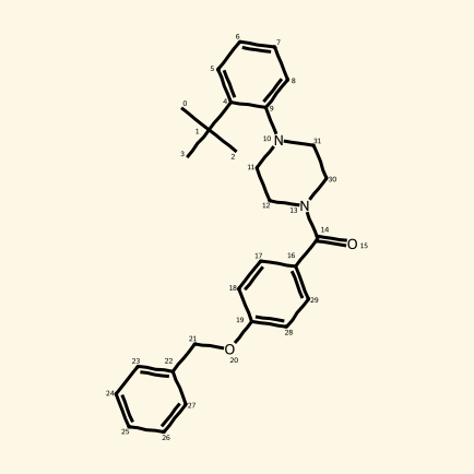 CC(C)(C)c1ccccc1N1CCN(C(=O)c2ccc(OCc3ccccc3)cc2)CC1